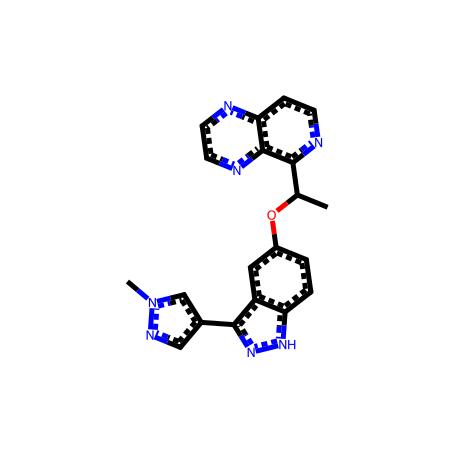 CC(Oc1ccc2[nH]nc(-c3cnn(C)c3)c2c1)c1nccc2nccnc12